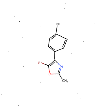 [C-]#[N+]c1ccc(-c2nc(C)oc2Br)cc1